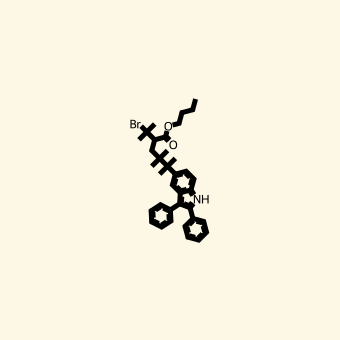 CCCCOC(=O)C(CC(C)(C)C(C)(C)c1ccc2[nH]c(-c3ccccc3)c(-c3ccccc3)c2c1)C(C)(C)Br